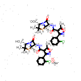 Cc1onc(-c2ccccc2Cl)c1C(=O)N[C@@H]1C(=O)N2[C@@H]1SC(C)(C)[C@@H]2C(=O)O.Cc1onc(-c2ccccc2Cl)c1C(=O)N[C@@H]1C(=O)N2[C@@H]1SC(C)(C)[C@@H]2C(=O)[O-].O.[Na+]